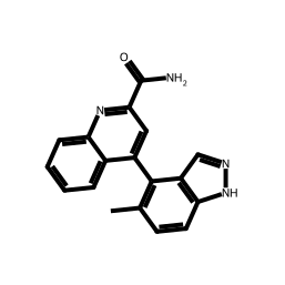 Cc1ccc2[nH]ncc2c1-c1cc(C(N)=O)nc2ccccc12